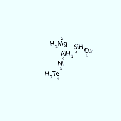 [AlH3].[Cu].[MgH2].[Ni].[SiH4].[TeH2]